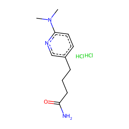 CN(C)c1ccc(CCCC(N)=O)cn1.Cl.Cl